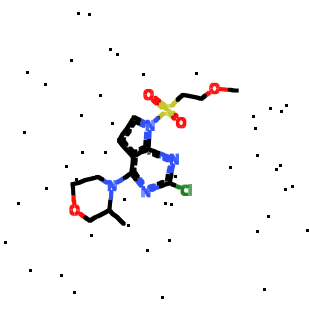 COCCS(=O)(=O)n1ccc2c(N3CCOCC3C)nc(Cl)nc21